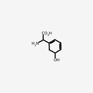 NC(C(=O)O)C1=CC=CC(O)C1